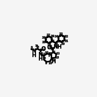 CN[C@@H](C)C(=O)NC1CCC[C@H]2CCC(C(=O)NC(c3ccccc3)c3ccccc3)N2C1